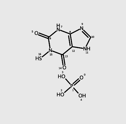 O=P(O)(O)O.O=c1[nH]c2nc[nH]c2c(=O)n1S